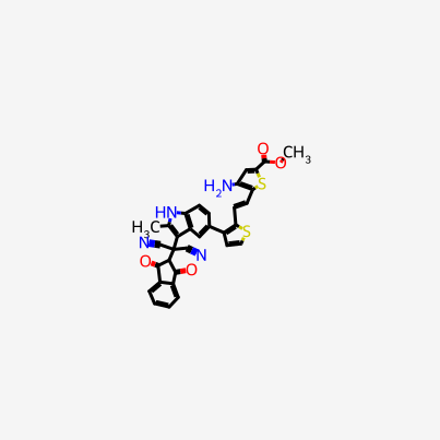 COC(=O)c1cc(N)c(/C=C/c2sccc2-c2ccc3[nH]c(C)c(C(C#N)(C#N)C4C(=O)c5ccccc5C4=O)c3c2)s1